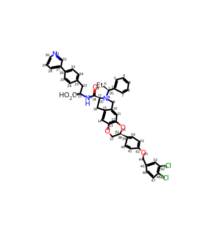 CC[C@@H](c1ccccc1)N1Cc2cc3c(cc2C[C@H]1C(=O)NC(Cc1ccc(-c2cccnc2)cc1)C(=O)O)OC[C@H](c1ccc(OCc2ccc(Cl)c(Cl)c2)cc1)O3